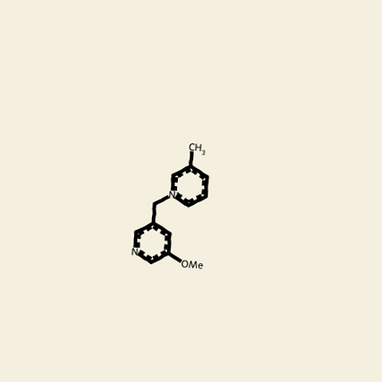 COc1cncc(C[n+]2cccc(C)c2)c1